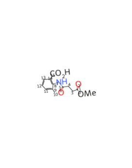 COC(=O)CCC(=O)Nc1c(C)cccc1C(=O)O